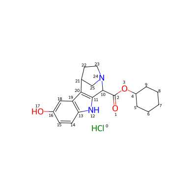 Cl.O=C(OC1CCCCC1)C1c2[nH]c3ccc(O)cc3c2C2CCN1C2